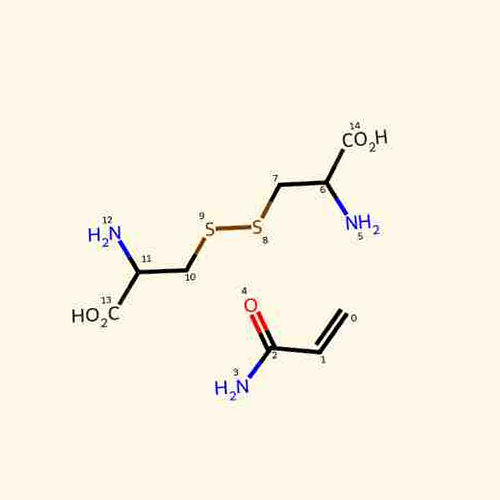 C=CC(N)=O.NC(CSSCC(N)C(=O)O)C(=O)O